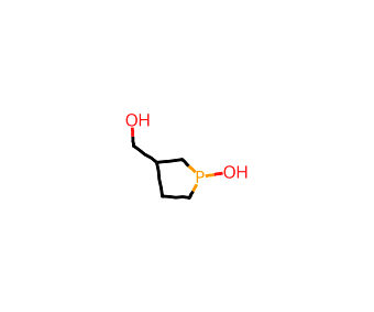 OCC1CCP(O)C1